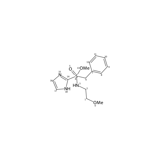 COCCNS(=O)(Cc1ccccc1)(OC)c1ncc[nH]1